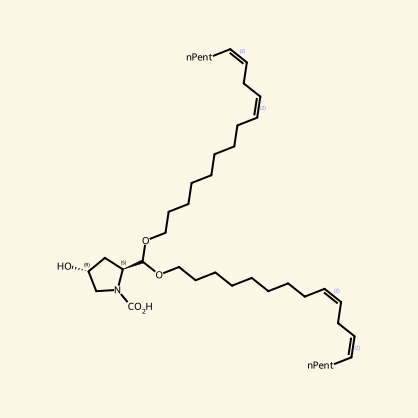 CCCCC/C=C\C/C=C\CCCCCCCCOC(OCCCCCCCC/C=C\C/C=C\CCCCC)[C@@H]1C[C@@H](O)CN1C(=O)O